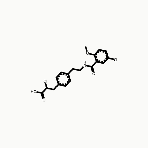 COc1ccc(Cl)cc1C(=O)NCCc1ccc(CC(Cl)C(=O)O)cc1